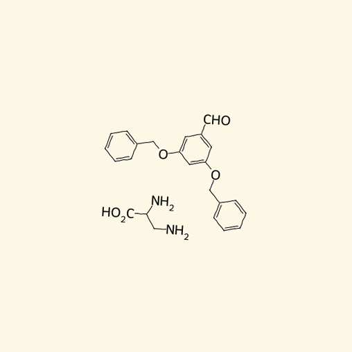 NCC(N)C(=O)O.O=Cc1cc(OCc2ccccc2)cc(OCc2ccccc2)c1